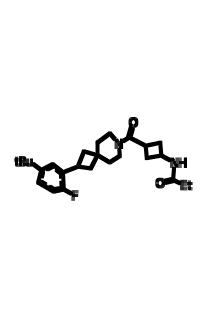 CCC(=O)NC1CC(C(=O)N2CCC3(CC2)CC(c2cc(C(C)(C)C)ccc2F)C3)C1